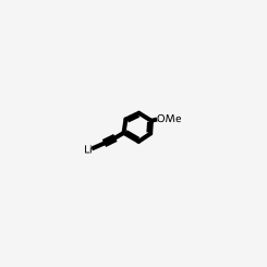 [Li][C]#Cc1ccc(OC)cc1